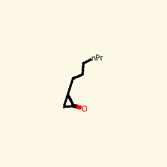 CCCCCCC1CC1=O